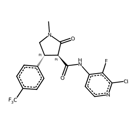 CN1C[C@@H](c2ccc(C(F)(F)F)cc2)[C@H](C(=O)Nc2ccnc(Cl)c2F)C1=O